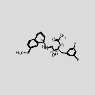 CCc1ccc2c(c1)[C@H](NC[C@@H](O)[C@H](Cc1cc(F)cc(F)c1)NC(C)=O)CCC2